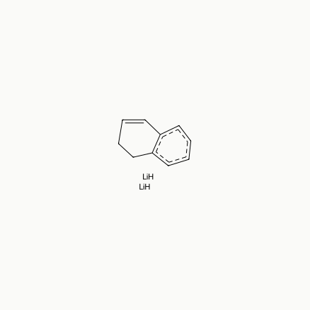 C1=Cc2ccccc2CC1.[LiH].[LiH]